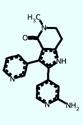 CN1CCc2[nH]c(-c3ccnc(N)c3)c(-c3cccnc3)c2C1=O